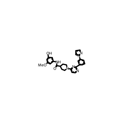 COc1cc(O)cc(NC(=O)C2CCN(c3ccnc(-c4cccc(-n5cccn5)c4)n3)CC2)c1